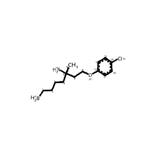 BCCCCC(C)(N)CCOc1ccc(Cl)cc1